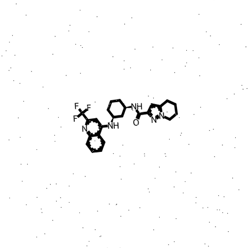 O=C(N[C@@H]1CCC[C@H](Nc2cc(C(F)(F)F)nc3ccccc23)C1)c1cc2n(n1)CCCC2